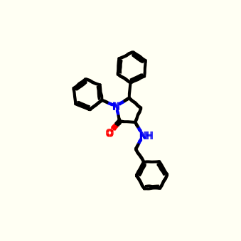 O=C1C(NCc2ccccc2)CC(c2ccccc2)N1c1ccccc1